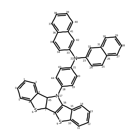 c1ccc2c(c1)SC1c3sc4ccccc4c3N(c3ccc(N(c4ccc5ccccc5c4)c4ccc5ccccc5c4)cc3)C21